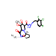 COc1c2n(cc(C(=O)NCc3ccc(F)c(Cl)c3F)c1=O)[C@H]1CCC[C@]13OC[C@@H](C)N3C2=O